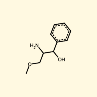 COCC(N)C(O)c1ccccc1